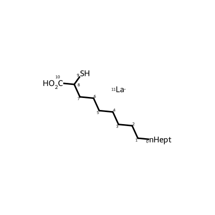 CCCCCCCCCCCCCCC(S)C(=O)O.[La]